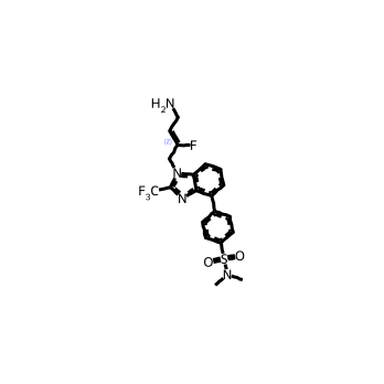 CN(C)S(=O)(=O)c1ccc(-c2cccc3c2nc(C(F)(F)F)n3C/C(F)=C/CN)cc1